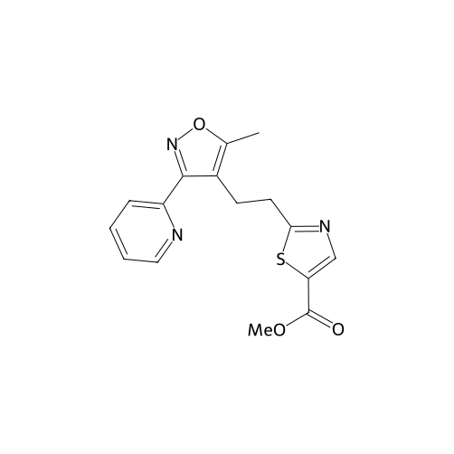 COC(=O)c1cnc(CCc2c(-c3ccccn3)noc2C)s1